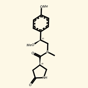 COc1ccc([C@@H](CN(C)C(=O)[C@H]2CNC(=O)C2)OC)cc1